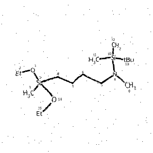 CCO[Si](C)(CCCCN(C)[Si](C)(C)C(C)(C)C)OCC